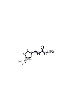 CC(C)(C)OC(=O)/N=C/C1CC[C@@H](N)C1